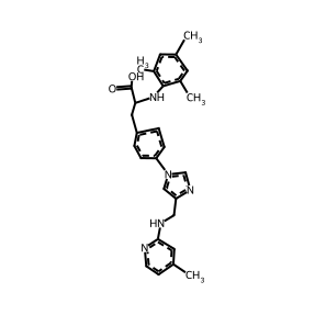 Cc1ccnc(NCc2cn(-c3ccc(CC(Nc4c(C)cc(C)cc4C)C(=O)O)cc3)cn2)c1